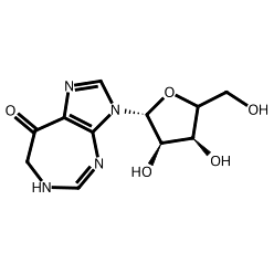 O=C1CNC=Nc2c1ncn2[C@@H]1OC(CO)[C@@H](O)[C@H]1O